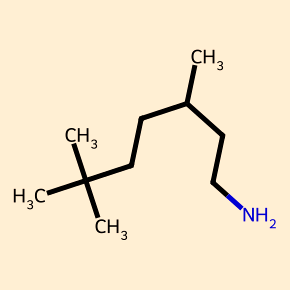 CC(CCN)CCC(C)(C)C